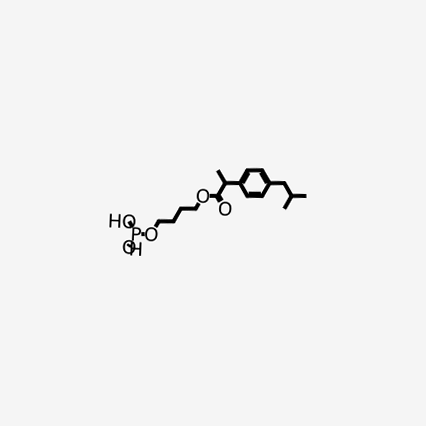 CC(C)Cc1ccc(C(C)C(=O)OCCCCO[PH](=O)O)cc1